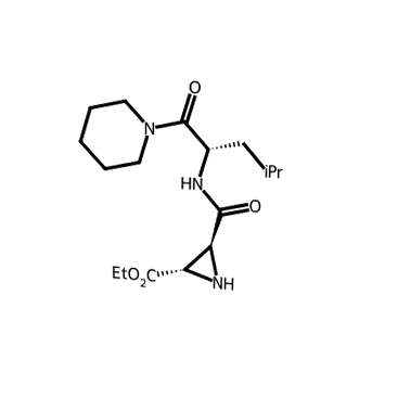 CCOC(=O)[C@H]1N[C@@H]1C(=O)N[C@@H](CC(C)C)C(=O)N1CCCCC1